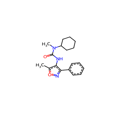 Cc1onc(-c2ccccc2)c1NC(=O)N(C)C1CCCCC1